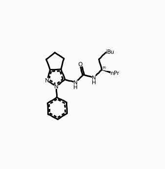 CCC[C@H](CC(C)CC)NC(=O)Nc1c2c(nn1-c1ccccc1)CCC2